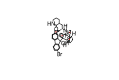 N#C[C@@H](C[C@@H]1CCCNC1=O)NC(=O)[C@@H]1[C@H]2CC[C@H](CC2(F)F)N1C(=O)[C@@]1(O)c2ccccc2-c2ccc(Br)cc21